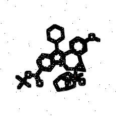 COc1ccc2c(c1)C1CC1(C(=O)N1C3CCC1CN(C)C3)Cn1c-2c(C2CCCCC2)c2ccc(C(=O)OC(C)(C)C)cc21